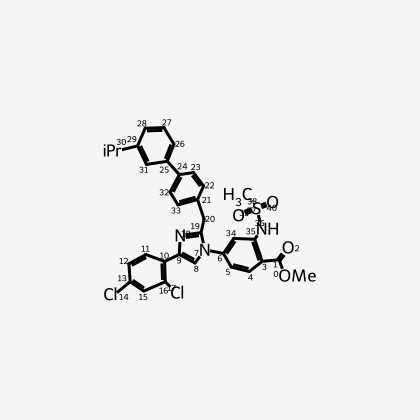 COC(=O)c1ccc(-n2cc(-c3ccc(Cl)cc3Cl)nc2Cc2ccc(-c3cccc(C(C)C)c3)cc2)cc1NS(C)(=O)=O